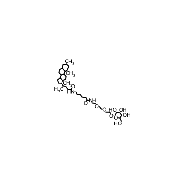 C[C@@H]1CC[C@@]2(C)C(CCC3C2CC[C@@]2(C)C3CC[C@@H]2[C@H](C)CCC(=O)NCCCCCC(=O)NCCOCCOCCO[C@H]2OC(CO)[C@@H](O)C(O)[C@H]2O)C1